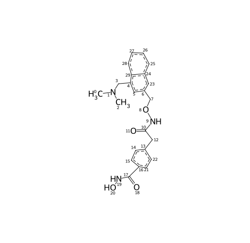 CN(C)Cc1cc(CONC(=O)Cc2ccc(C(=O)NO)cc2)cc2ccccc12